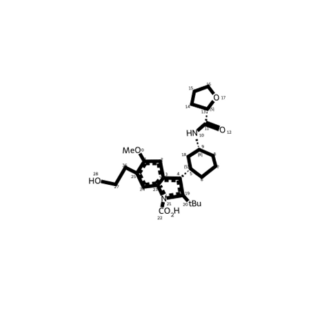 COc1cc2c([C@H]3CCC[C@@H](NC(=O)[C@@H]4CCCO4)C3)c(C(C)(C)C)n(C(=O)O)c2cc1CCO